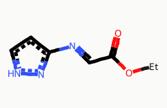 CCOC(=O)/C=N/c1cc[nH]n1